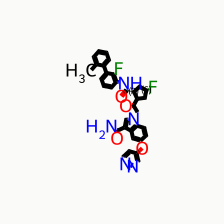 Cc1ccccc1-c1cccc(NC(=O)[C@@H]2C[C@@H](F)CC2C(=O)Cn2cc(C(N)=O)c3cc(Oc4ccnnc4)ccc32)c1F